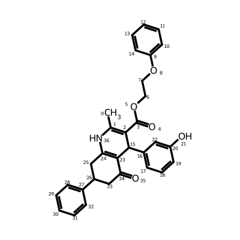 CC1=C(C(=O)OCCOc2ccccc2)C(c2cccc(O)c2)C2=C(CC(c3ccccc3)CC2=O)N1